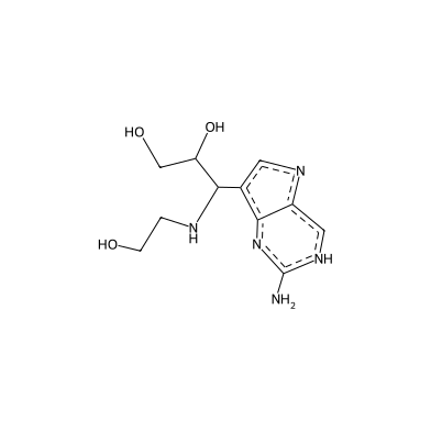 Nc1nc2c(C(NCCO)C(O)CO)cnc-2c[nH]1